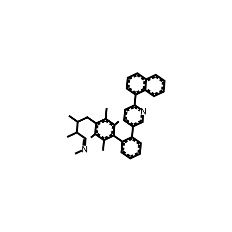 C/N=C\C(C)C(C)Cc1c(C)c(C)c(-c2ccccc2-c2ccc(-c3cccc4ccccc34)nc2)c(C)c1C